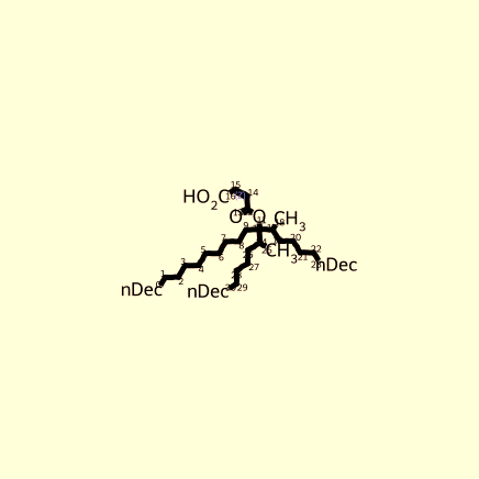 CCCCCCCCCCCCCCCCCCCC(OC(=O)/C=C\C(=O)O)(C(C)CCCCCCCCCCCCCC)C(C)CCCCCCCCCCCCCC